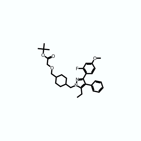 CCc1c(-c2ccccc2)c(-c2ccc(OC)cc2F)nn1CC1CCC(COCC(=O)OC(C)(C)C)CC1